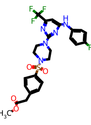 COC(=O)Cc1ccc(S(=O)(=O)N2CCN(c3nc(Nc4ccc(F)cc4)cc(C(F)(F)F)n3)CC2)cc1